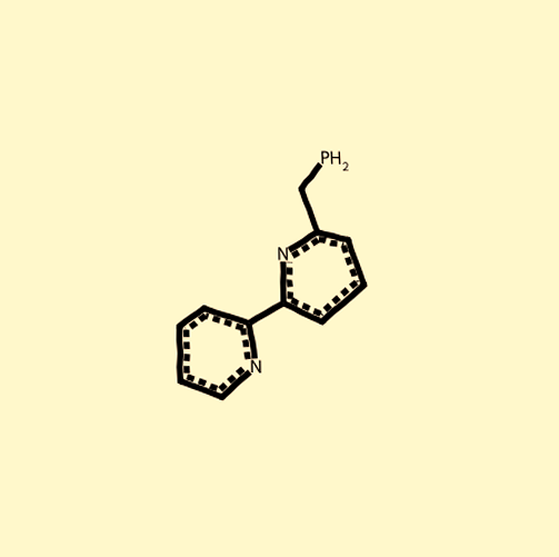 PCc1cccc(-c2ccccn2)n1